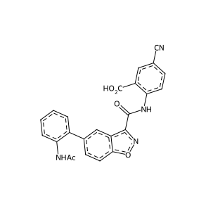 CC(=O)Nc1ccccc1-c1ccc2onc(C(=O)Nc3ccc(C#N)cc3C(=O)O)c2c1